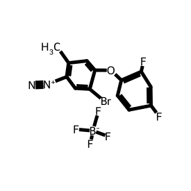 Cc1cc(Oc2ccc(F)cc2F)c(Br)cc1[N+]#N.F[B-](F)(F)F